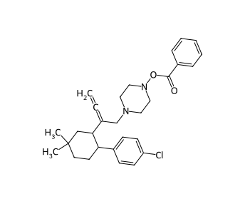 C=C=C(CN1CCN(OC(=O)c2ccccc2)CC1)C1CC(C)(C)CCC1c1ccc(Cl)cc1